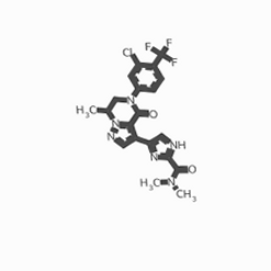 CC1CN(c2ccc(C(F)(F)F)c(Cl)c2)C(=O)c2c(-c3c[nH]c(C(=O)N(C)C)n3)cnn21